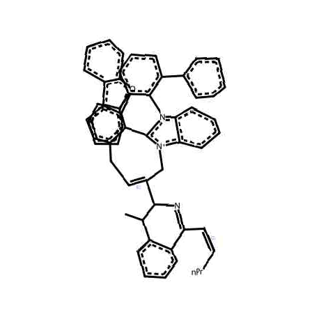 CCC/C=C\C1=NC(/C2=C/Cc3ccc4c(oc5ccccc54)c3-c3n(-c4c(-c5ccccc5)cccc4-c4ccccc4)c4ccccc4[n+]3C2)C(C)c2ccccc21